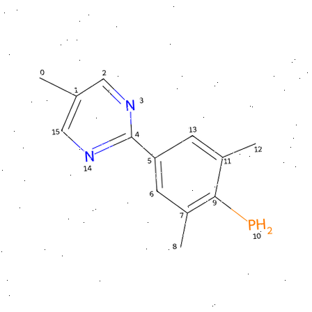 Cc1cnc(-c2cc(C)c(P)c(C)c2)nc1